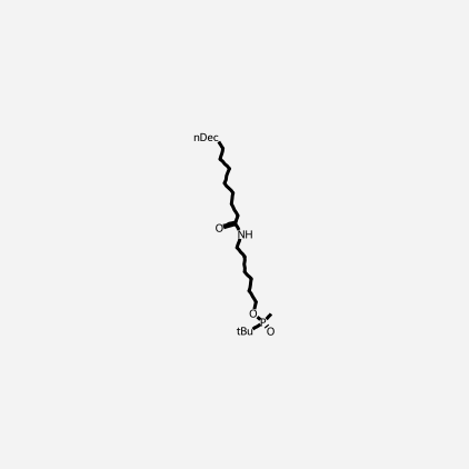 CCCCCCCCCCCCCCCCCC(=O)NCCCCCCOP(C)(=O)C(C)(C)C